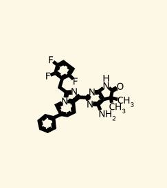 CC1(C)C(=O)Nc2nc(-c3nc(Cc4c(F)ccc(F)c4F)n4cc(-c5ccccc5)ccc34)nc(N)c21